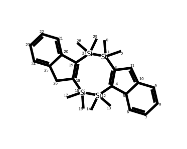 C[Si]1(C)C2=C(C3C=CC=CC3=C2)[Si](C)(C)[Si](C)(C)C2=C(c3ccccc3C2)[Si]1(C)C